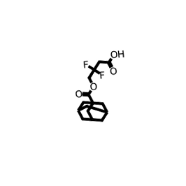 O=C(O)CC(F)(F)COC(=O)C12CC3CC(CC(C3)C1)C2